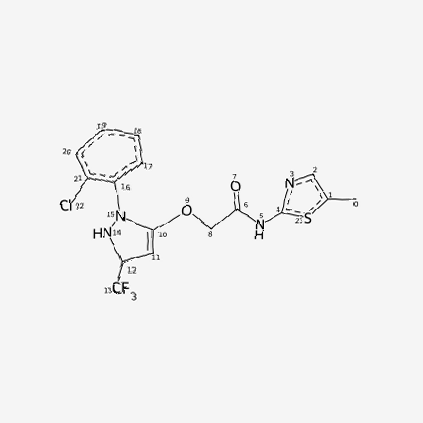 Cc1cnc(NC(=O)COC2=CC(C(F)(F)F)NN2c2ccccc2Cl)s1